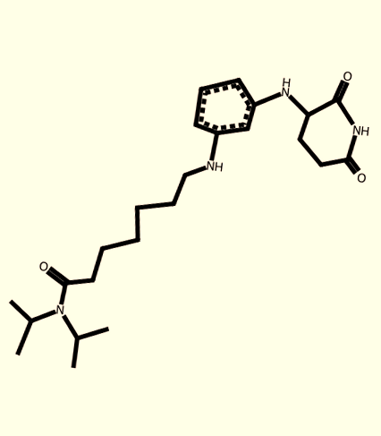 CC(C)N(C(=O)CCCCCCNc1cccc(NC2CCC(=O)NC2=O)c1)C(C)C